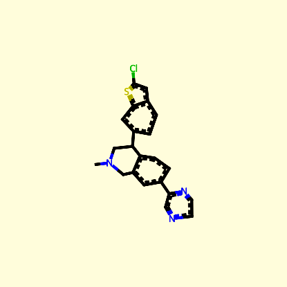 CN1Cc2cc(-c3cnccn3)ccc2C(c2ccc3cc(Cl)sc3c2)C1